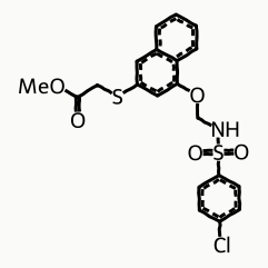 COC(=O)CSc1cc(OCNS(=O)(=O)c2ccc(Cl)cc2)c2ccccc2c1